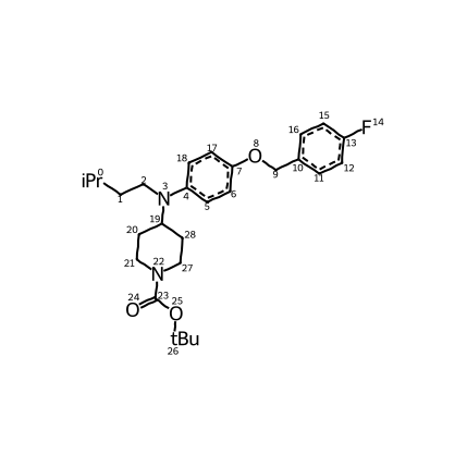 CC(C)CCN(c1ccc(OCc2ccc(F)cc2)cc1)C1CCN(C(=O)OC(C)(C)C)CC1